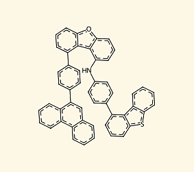 c1ccc2c(c1)cc(-c1ccc(-c3cccc4oc5cccc(Nc6ccc(-c7cccc8sc9ccccc9c78)cc6)c5c34)cc1)c1ccccc12